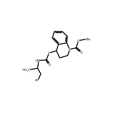 CC(C)CC(NC(=O)OC1CCN(C(=O)OC(C)(C)C)c2ccccc21)C(=O)O